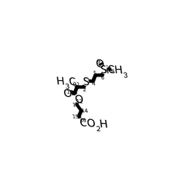 CC(CSCCC[Si](C)=O)C(=O)OCCCC(=O)O